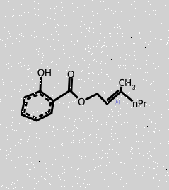 CCC/C(C)=C/COC(=O)c1ccccc1O